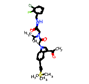 CC(=O)c1cn(CC(=O)N(CC(=O)NCc2cccc(Cl)c2F)C(C)C)c2ccc(C#CS(C)(C)C)cc12